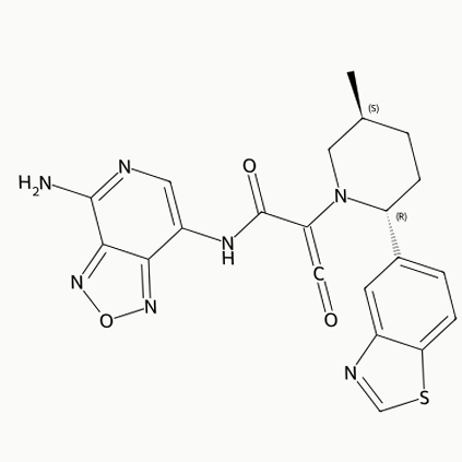 C[C@H]1CC[C@H](c2ccc3scnc3c2)N(C(=C=O)C(=O)Nc2cnc(N)c3nonc23)C1